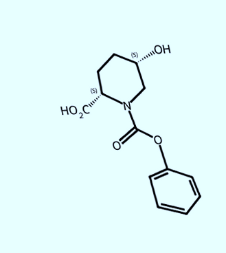 O=C(O)[C@@H]1CC[C@H](O)CN1C(=O)Oc1ccccc1